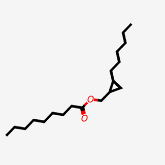 CCCCCCCCC(=O)OCC1CC1CCCCCC